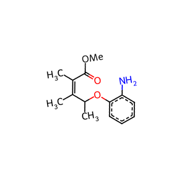 COC(=O)C(C)=C(C)C(C)Oc1ccccc1N